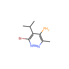 Cc1nnc(Br)c(C(C)C)c1P